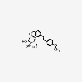 COc1ccc(CCc2ccc3c(c2)[C@]2(C[C@@H](O)[C@H](N=O)[C@@H](CO)O2)OC3)cc1